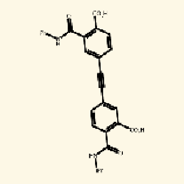 CC(C)NC(=O)c1ccc(C#Cc2ccc(C(=O)O)c(C(=O)NC(C)C)c2)cc1C(=O)O